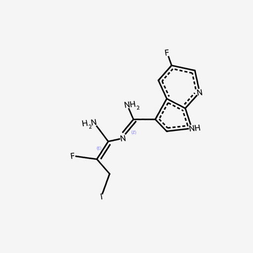 N/C(=N\C(N)=C(\F)CI)c1c[nH]c2ncc(F)cc12